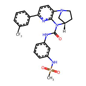 CS(=O)(=O)Nc1cccc(NC(=O)N2c3nc(-c4cccc(C(F)(F)F)c4)ccc3N3CC[C@H]2C3)c1